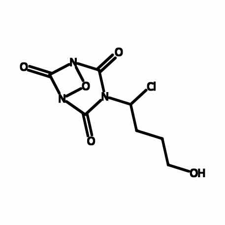 O=c1n(C(Cl)CCCO)c(=O)n2on1c2=O